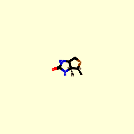 C[C@@H]1SCC2NC(=O)N[C@@H]21